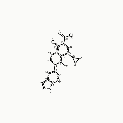 Cc1c(-c2cnc3[nH]ccc3c2)ccn2c(=O)c(C(=O)O)cc(C3CC3)c12